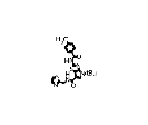 Cc1ccc(C(=O)Nc2nc3c(s2)c(C(=O)NCc2nccs2)cn3C(C)(C)C)cc1